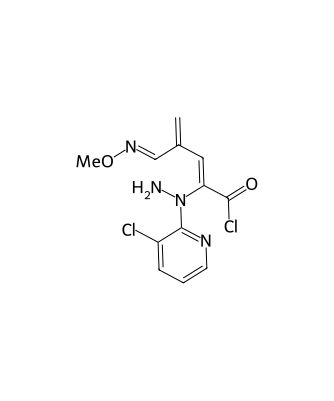 C=C(/C=C(/C(=O)Cl)N(N)c1ncccc1Cl)/C=N/OC